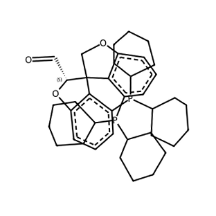 O=C[C@H]1Oc2cccc(P(C3CCCCC3)C3CCCCC3)c2C12COc1cccc(P(C3CCCCC3)C3CCCCC3)c12